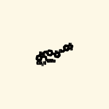 COCCn1c(CN2CCC(c3cccc(OCc4ccc5ncsc5c4)n3)CC2)nc2ccc(C(=O)O)cc21